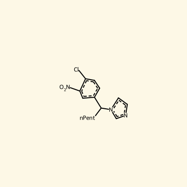 CCCCCC(c1ccc(Cl)c([N+](=O)[O-])c1)n1ccnc1